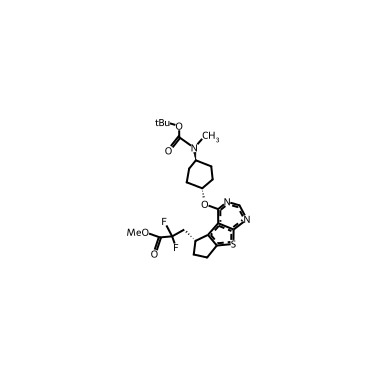 COC(=O)C(F)(F)C[C@H]1CCc2sc3ncnc(O[C@H]4CC[C@H](N(C)C(=O)OC(C)(C)C)CC4)c3c21